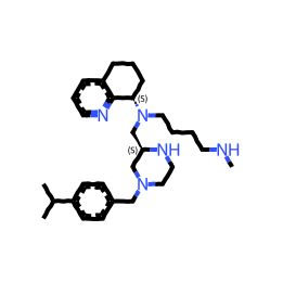 CNCCCCN(C[C@@H]1CN(Cc2ccc(C(C)C)cc2)CCN1)[C@H]1CCCc2cccnc21